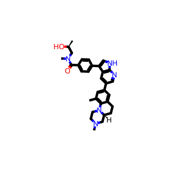 Cc1cc(-c2cnc3[nH]cc(-c4ccc(C(=O)N(C)C[C@H](C)O)cc4)c3c2)cc2c1N1CCN(C)C[C@@H]1CC2